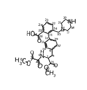 COC(=O)C(=O)NC(Cc1ccc(-c2c(CN3CCNCC3)cccc2C(=O)O)cc1)C(=O)OC